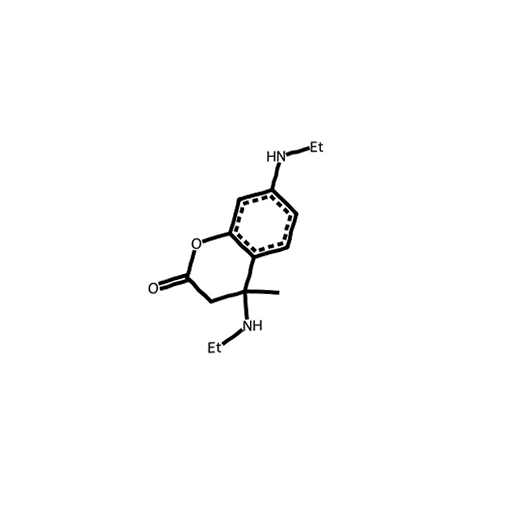 CCNc1ccc2c(c1)OC(=O)CC2(C)NCC